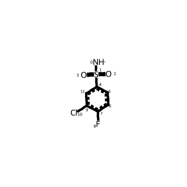 [NH]S(=O)(=O)c1ccc(F)c(Cl)c1